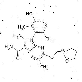 Cc1cc2c(C(N)=O)c(N)n(-c3c(C)ccc(O)c3C)c2nc1OC[C@H]1CCCO1